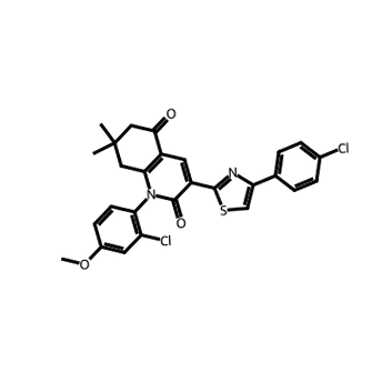 COc1ccc(-n2c3c(cc(-c4nc(-c5ccc(Cl)cc5)cs4)c2=O)C(=O)CC(C)(C)C3)c(Cl)c1